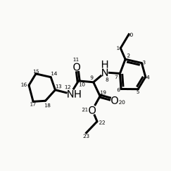 [CH2]Cc1ccccc1NC(C(=O)NC1CCCCC1)C(=O)OCC